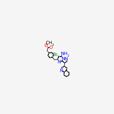 COC(=O)Cc1ccc(Cc2nc3c(-c4cnc5ccccc5c4)cnn3c(N)c2Br)cc1